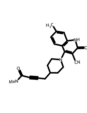 CNC(=O)C#CCC1CCN(c2c(C#N)c(=O)[nH]c3cc(C)ccc23)CC1